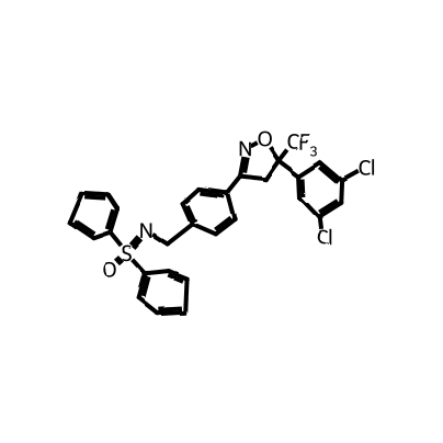 O=S(=NCc1ccc(C2=NOC(c3cc(Cl)cc(Cl)c3)(C(F)(F)F)C2)cc1)(c1ccccc1)c1ccccc1